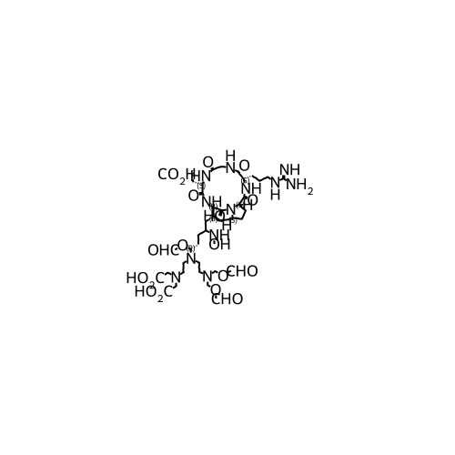 N=C(N)NCCC[C@@H]1NC(=O)[C@@H]2CC[C@H]3C[C@@H](CC(CC[C@@H](OC=O)N(CCN(COC=O)COC=O)CCN(CC(=O)O)CC(=O)O)NO)[C@@H](NC(=O)[C@H](CC(=O)O)NC(=O)CNC1=O)C(=O)N32